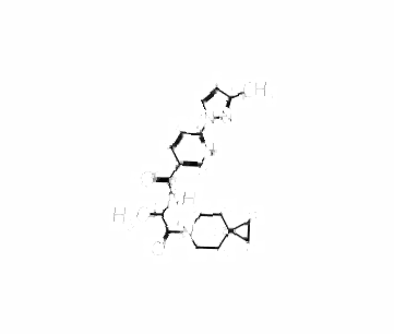 Cc1ccn(-c2ccc(C(=O)NC(C)C(=O)N3CCC4(CC3)CC4)cn2)n1